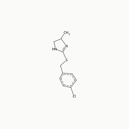 CC1CNC(SCc2ccc(Cl)cc2)=N1